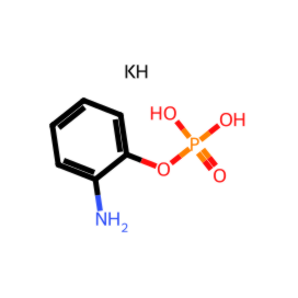 Nc1ccccc1OP(=O)(O)O.[KH]